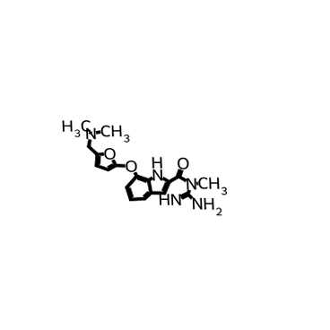 CN(C)Cc1ccc(Oc2cccc3cc(C(=O)N(C)C(=N)N)[nH]c23)o1